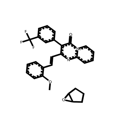 C1CC2OC2C1.COc1ccccc1C=Cc1nc2ccccn2c(=O)c1-c1cccc(C(F)(F)F)c1